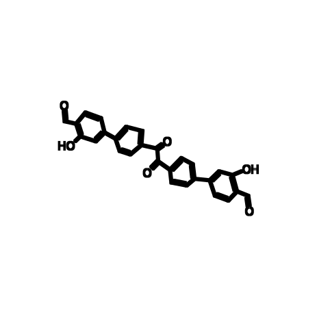 O=Cc1ccc(-c2ccc(C(=O)C(=O)c3ccc(-c4ccc(C=O)c(O)c4)cc3)cc2)cc1O